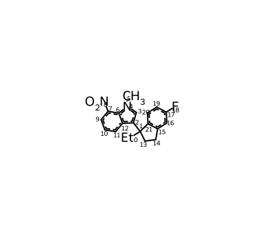 CCC1(c2cn(C)c3c([N+](=O)[O-])cccc23)CCc2cc(F)ccc21